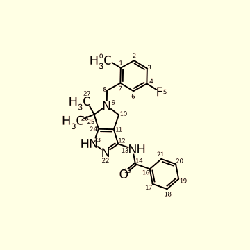 Cc1ccc(F)cc1CN1Cc2c(NC(=O)c3ccccc3)n[nH]c2C1(C)C